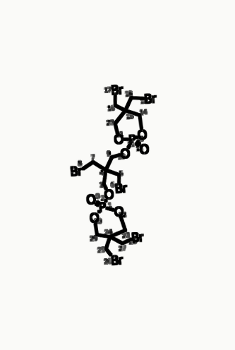 O=P1(OCC(CBr)(CBr)COP2(=O)OCC(CBr)(CBr)CO2)OCC(CBr)(CBr)CO1